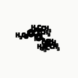 COc1ccc(F)c(-c2ncc(CO[Si](C)(C)C(C)(C)C)cc2CC(C)(C)C)c1